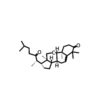 CC(C)CCC(=O)[C@@H](C)[C@H]1CC[C@H]2[C@@H]3CC=C4C(C)(C)C(=O)CC[C@]4(C)[C@H]3CC[C@]12C